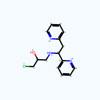 OC(CCl)CNC(Cc1ccccn1)c1ccccn1